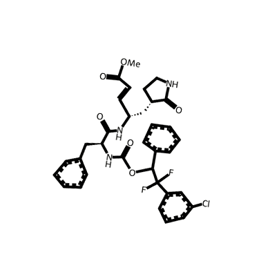 COC(=O)/C=C/[C@H](C[C@@H]1CCNC1=O)NC(=O)[C@H](Cc1ccccc1)NC(=O)OC(c1ccccc1)C(F)(F)c1cccc(Cl)c1